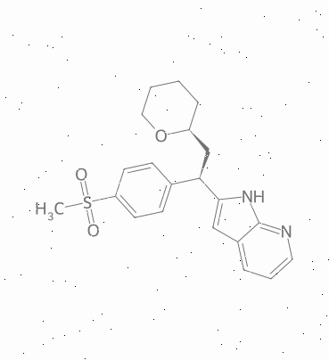 CS(=O)(=O)c1ccc([C@@H](C[C@@H]2CCCCO2)c2cc3cccnc3[nH]2)cc1